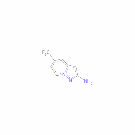 Nc1cc2cc(C(F)(F)F)ccn2n1